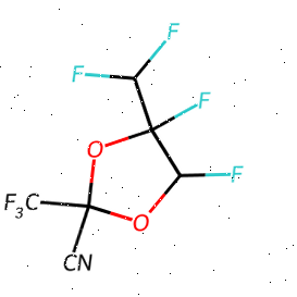 N#CC1(C(F)(F)F)OC(F)C(F)(C(F)F)O1